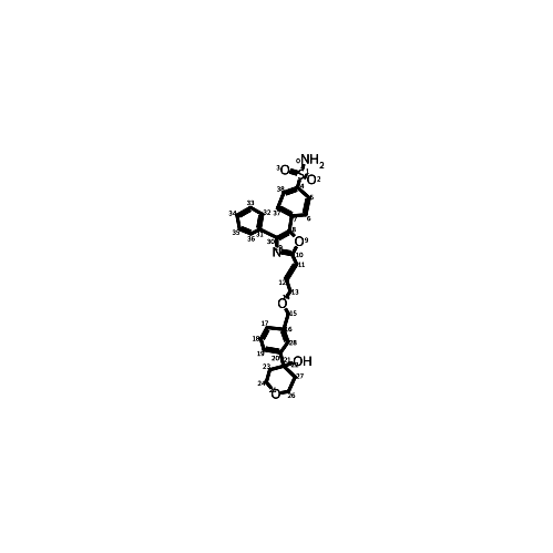 NS(=O)(=O)c1ccc(-c2oc(/C=C/COCc3cccc(C4(O)CCOCC4)c3)nc2-c2ccccc2)cc1